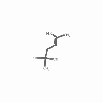 CCC(C)(C#N)CC=C(C)C